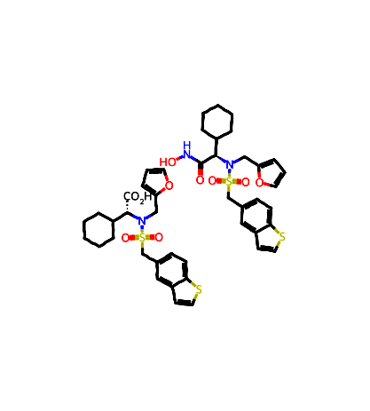 O=C(NO)[C@@H](C1CCCCC1)N(Cc1ccco1)S(=O)(=O)Cc1ccc2sccc2c1.O=C(O)[C@@H](C1CCCCC1)N(Cc1ccco1)S(=O)(=O)Cc1ccc2sccc2c1